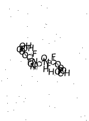 C[C@H]1c2ccc(C(=O)NCc3c(F)cc(OCOP(=O)(O)O)cc3F)cc2N(Cc2c(F)cc(OCOP(=O)(O)O)cc2F)C(=O)N1C